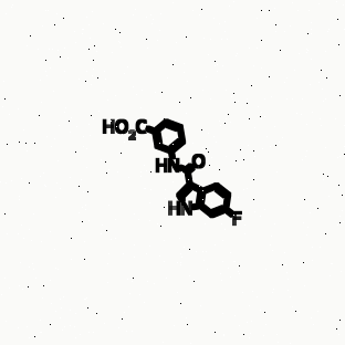 O=C(O)c1cccc(NC(=O)c2c[nH]c3cc(F)ccc23)c1